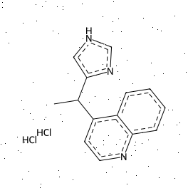 CC(c1c[nH]cn1)c1ccnc2ccccc12.Cl.Cl